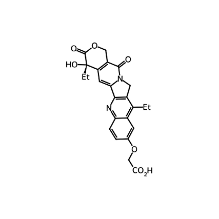 CCc1c2c(nc3ccc(OCC(=O)O)cc13)-c1cc3c(c(=O)n1C2)COC(=O)[C@]3(O)CC